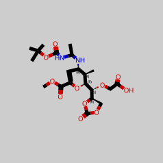 COC(=O)C1=C[C@H](NC(C)NC(=O)OC(C)(C)C)[C@@H](C)[C@H]([C@H](OCC(=O)O)[C@H]2COC(=O)O2)O1